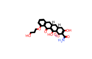 NC(=O)C1=C(O)C[C@@H]2C[C@@H]3Cc4cccc(OCCCO)c4C(=O)C3=C(O)[C@]2(OI)C1=O